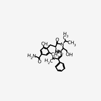 C=N/C(=C\NC(CO)N(C(=O)[C@@H](N)Cc1c(C)cc(C(N)=O)cc1C)C(C)C)c1ccccc1